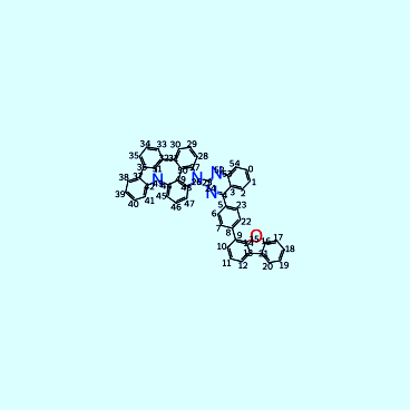 c1ccc2c(-c3ccc(-c4cccc5c4oc4ccccc45)cc3)nc(-n3c4cccc5c6cccc7c8ccccc8n(c8cccc3c8c54)c67)nc2c1